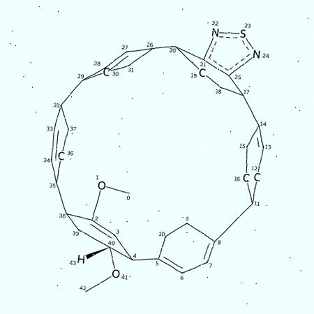 COC1=CC2C3=CC=C(CC3)C3CC=C(CC3)C3CCC(c4nsnc43)C3C=CC(CC3)C3C=CC(CC3)C1C[C@H]2OC